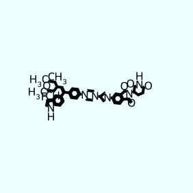 CC1(C)CC(C=C(c2ccc(N3CCN(C4CN(c5ccc6c(c5)C(=O)N(C5CCC(=O)NC5=O)C6=O)C4)CC3)cc2)c2ccc3[nH]cc(F)c3c2)CC(C)(C)O1